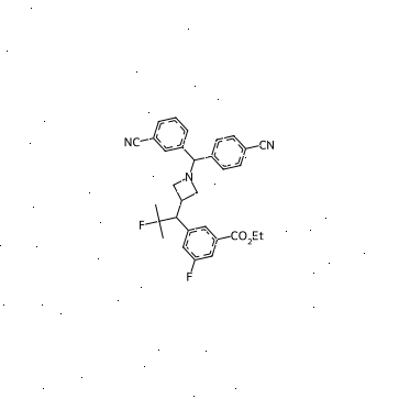 CCOC(=O)c1cc(F)cc(C(C2CN(C(c3ccc(C#N)cc3)c3cccc(C#N)c3)C2)C(C)(C)F)c1